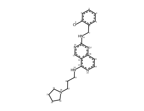 Clc1ccccc1CNc1ncc2c(NCCCN3CCCC3)nccc2n1